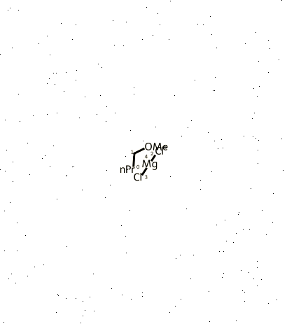 [CH2]CCCOC.[Cl][Mg][Cl]